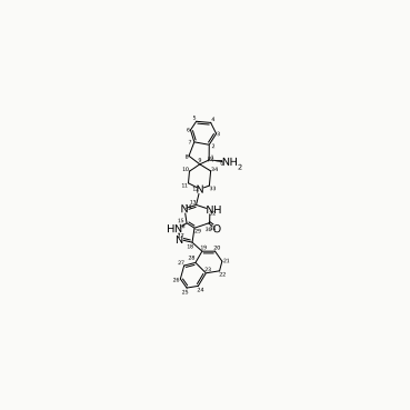 N[C@@H]1c2ccccc2CC12CCN(c1nc3[nH]nc(C4=CCCc5ccccc54)c3c(=O)[nH]1)CC2